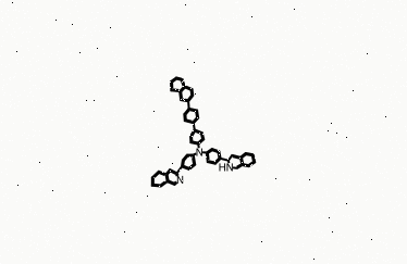 C1=c2ccccc2=CC(c2ccc(N(c3ccc(-c4ccc(-c5ccc6ccccc6c5)cc4)cc3)c3ccc(-c4cc5ccccc5cn4)cc3)cc2)N1